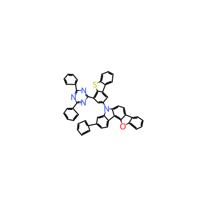 c1ccc(-c2ccc3c4c5oc6ccccc6c5ccc4n(-c4cc(-c5nc(-c6ccccc6)nc(-c6ccccc6)n5)c5sc6ccccc6c5c4)c3c2)cc1